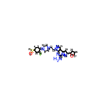 C[S+]([O-])c1ccc(N2CCN(CCn3ncc4c3nc(N)n3nc(-c5ccco5)cc43)CC2)c(F)c1